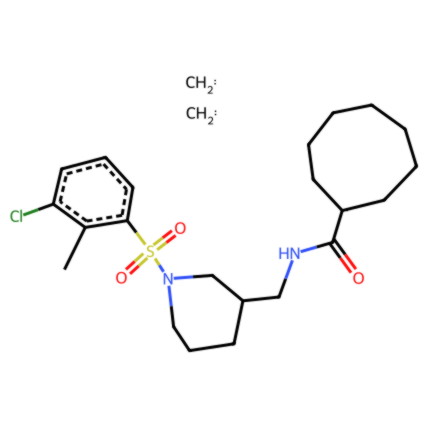 Cc1c(Cl)cccc1S(=O)(=O)N1CCCC(CNC(=O)[C]2CCCCCCC2)C1.[CH2].[CH2]